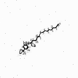 CCCCCCCCCCCCCC(=O)Nc1ccc(C=O)cc1